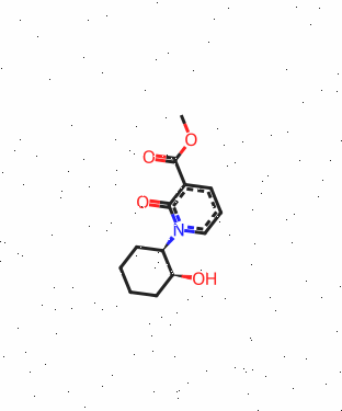 COC(=O)c1cccn([C@@H]2CCCC[C@@H]2O)c1=O